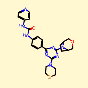 O=C(Nc1ccncc1)Nc1ccc(-c2nc(N3CCSCC3)nc(N3C4CCC3COC4)n2)cc1